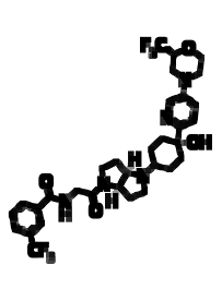 O=C(NCC(=O)N1CC[C@@H]2[C@H]1CCN2C1CCC(O)(c2ccc(N3CCO[C@H](C(F)(F)F)C3)cn2)CC1)c1cccc(C(F)(F)F)c1